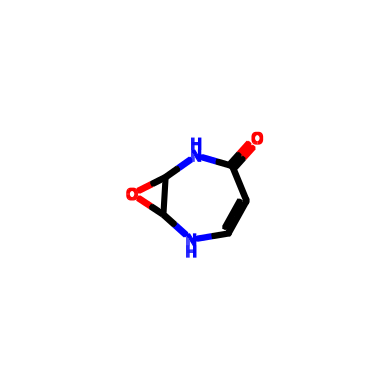 O=C1C=CNC2OC2N1